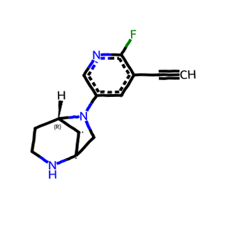 C#Cc1cc(N2C[C]3[CH][C@@H]2CCN3)cnc1F